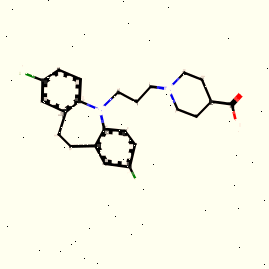 Cl.O=C(O)C1CCN(CCCN2c3ccc(Br)cc3CCc3cc(Br)ccc32)CC1